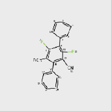 N#Cc1c(F)c(-c2ccccc2)c(F)c(C#N)c1-c1ccccc1